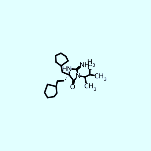 CC(C)C(C)N1C(=N)N[C@](CCC2CCCCC2)(CC2CCCCC2)C1=O